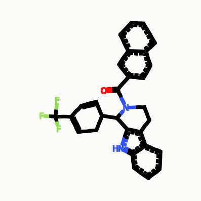 O=C(c1ccc2ccccc2c1)N1CCc2c([nH]c3ccccc23)C1C1C=CC(C(F)(F)F)=CC1